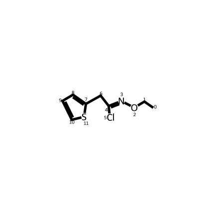 CCON=C(Cl)Cc1cccs1